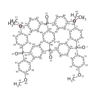 COc1ccc(P(=O)(c2ccc(OC)cc2)c2ccc(P(=O)(c3ccc(P(=O)(c4ccc(OC)cc4)c4ccc(OC)cc4)cc3)c3ccc(P(=O)(c4ccc(OC)cc4)c4ccc(OC)cc4)cc3)cc2)cc1